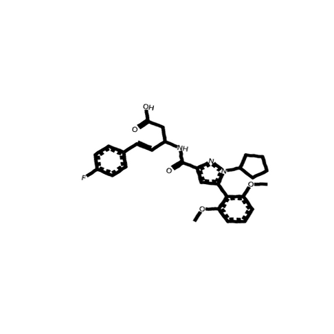 COc1cccc(OC)c1-c1cc(C(=O)NC(/C=C/c2ccc(F)cc2)CC(=O)O)nn1C1CCCC1